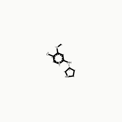 COc1cc(N[C@@H]2CCNC2)ncc1Cl